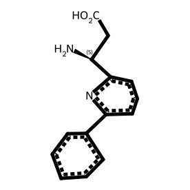 N[C@@H](CC(=O)O)c1cccc(-c2ccccc2)n1